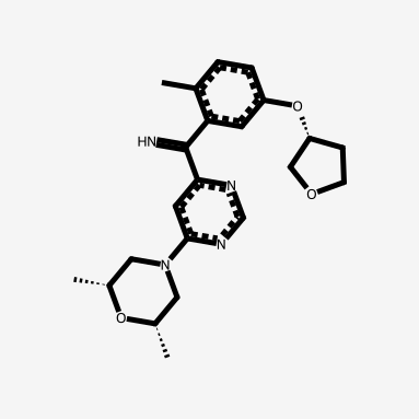 Cc1ccc(O[C@@H]2CCOC2)cc1C(=N)c1cc(N2C[C@@H](C)O[C@@H](C)C2)ncn1